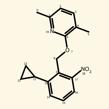 Cc1ccc(C)c(OCc2c(C3CC3)cccc2[N+](=O)[O-])n1